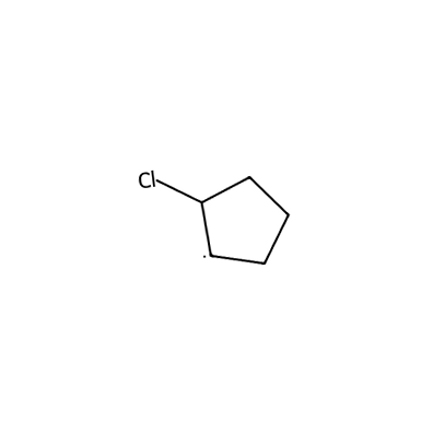 ClC1[CH]CCC1